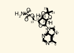 Cc1ncnc2c1ncn2[C@@H]1O[C@H](COS(N)(=O)=O)[C@H]2OC(C)(C)O[C@H]21